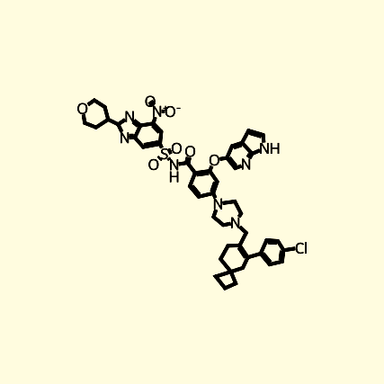 O=C(NS(=O)(=O)c1cc([N+](=O)[O-])c2c(c1)=NC(C1CCOCC1)N=2)c1ccc(N2CCN(CC3=C(c4ccc(Cl)cc4)CC4(CCC4)CC3)CC2)cc1Oc1cnc2[nH]ccc2c1